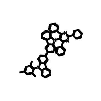 Cc1cc(C)c(-n2c3ccccc3c3cc(-c4ccc5c(c4)c4ccccc4n5-c4c(-c5ccccc5)nc(-c5ccccc5)nc4-c4ccccc4)ccc32)c(C)c1